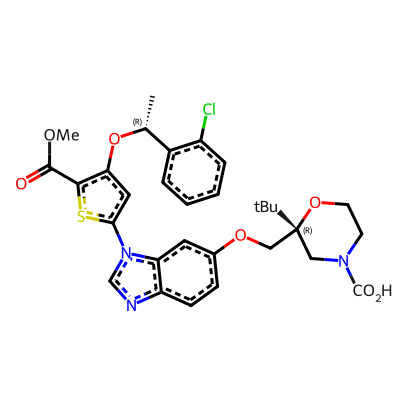 COC(=O)c1sc(-n2cnc3ccc(OC[C@@]4(C(C)(C)C)CN(C(=O)O)CCO4)cc32)cc1O[C@H](C)c1ccccc1Cl